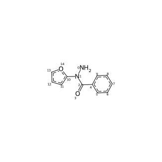 NN(C(=O)c1ccccc1)c1ccco1